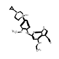 CCNc1cc(Nc2ccc([PH]3(O)CCN(C4CC4)CC3)cc2OC)nc2[nH]cc(C#N)c12